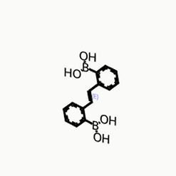 OB(O)c1ccccc1/C=C/c1ccccc1B(O)O